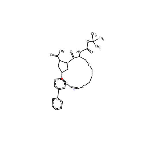 CC(C)(C)OC(=O)NC1CCCCCC/C=C\CSC2(c3ccc(-c4ccccc4)cc3)CC(C(=O)O)N(C2)C1=O